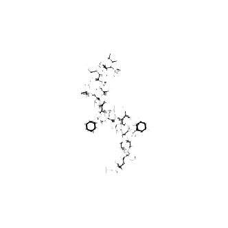 CCC(C)[C@H](C(=O)N[C@H](C(=O)N(C)[C@H](C[C@@H](OC(C)=O)c1nc(C(=O)N(C)[C@@H](CSc2ccccc2)C(=O)N[C@H](C(=O)N[C@@H](Cc2ccccc2)C(=O)N2CCN(C(=O)CCC(C)(C)S)CC2)C(C)C)cs1)C(C)C)[C@@H](C)CC)N(C)C